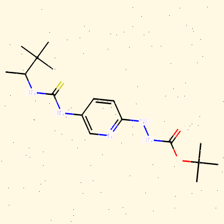 CC(NC(=S)Nc1ccc(NNC(=O)OC(C)(C)C)nc1)C(C)(C)C